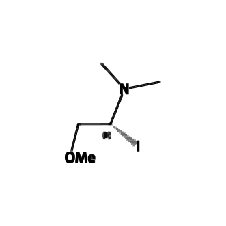 COC[C@@H](I)N(C)C